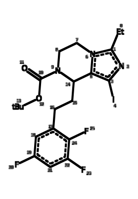 CCc1nc(I)c2n1CCN(C(=O)OC(C)(C)C)C2CCc1cc(F)cc(F)c1F